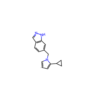 [c]1cc(C2CC2)n(Cc2ccc3cn[nH]c3c2)c1